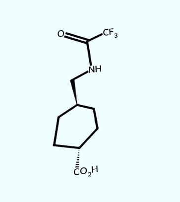 O=C(NC[C@H]1CC[C@H](C(=O)O)CC1)C(F)(F)F